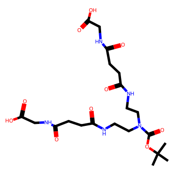 CC(C)(C)OC(=O)N(CCNC(=O)CCC(=O)NCC(=O)O)CCNC(=O)CCC(=O)NCC(=O)O